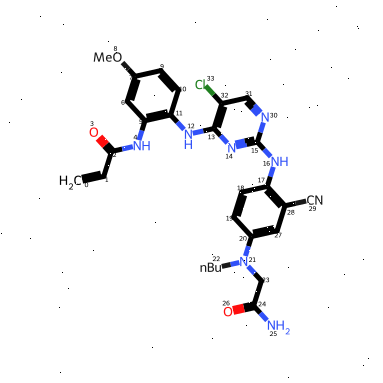 C=CC(=O)Nc1cc(OC)ccc1Nc1nc(Nc2ccc(N(CCCC)CC(N)=O)cc2C#N)ncc1Cl